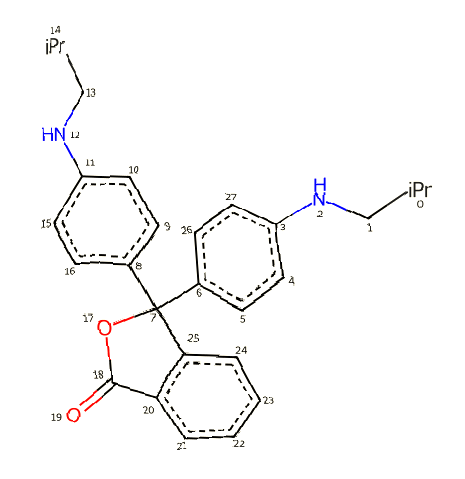 CC(C)CNc1ccc(C2(c3ccc(NCC(C)C)cc3)OC(=O)c3ccccc32)cc1